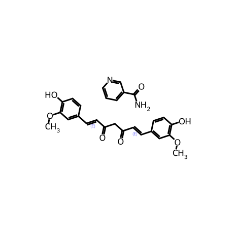 COc1cc(/C=C/C(=O)CC(=O)/C=C/c2ccc(O)c(OC)c2)ccc1O.NC(=O)c1cccnc1